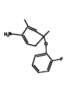 CC1=CC(C)(Oc2ccccc2F)CC=C1N